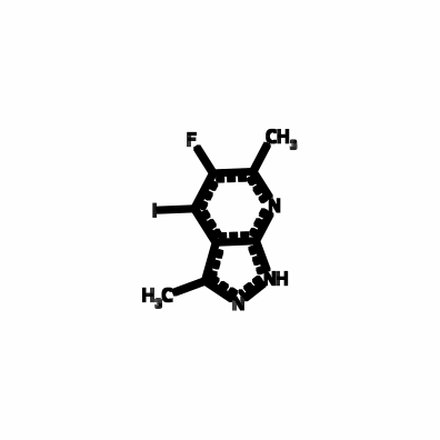 Cc1nc2[nH]nc(C)c2c(I)c1F